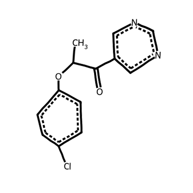 CC(Oc1ccc(Cl)cc1)C(=O)c1cncnc1